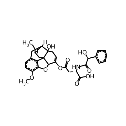 COc1ccc2c3c1OC1C(OC(=O)C[C@H](NC(=O)[C@@H](O)c4ccccc4)C(=O)O)=CC[C@@]4(O)[C@@H](C2)N(C)CCC314